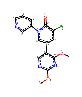 COc1ncc(-c2cc(Br)c(=O)n(-c3cccnc3)c2)c(OC)n1